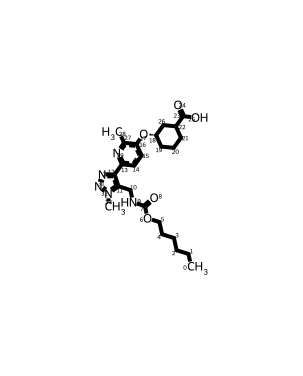 CCCCCCOC(=O)NCc1c(-c2ccc(O[C@H]3CCCC(C(=O)O)C3)c(C)n2)nnn1C